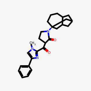 Cn1cc(-c2ccccc2)nc1C(=O)C1CCN([C@]23CCCC4CC(CC4C2)C3)C1=O